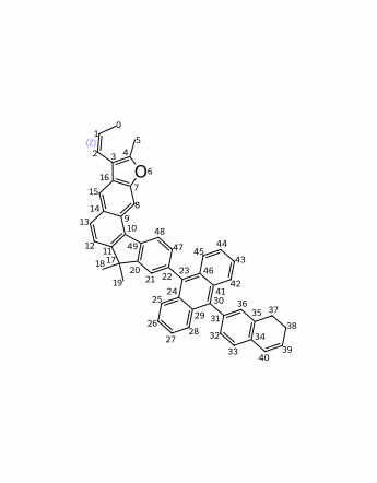 C/C=C\c1c(C)oc2cc3c4c(ccc3cc12)C(C)(C)c1cc(-c2c3ccccc3c(-c3ccc5c(c3)CCC=C5)c3ccccc23)ccc1-4